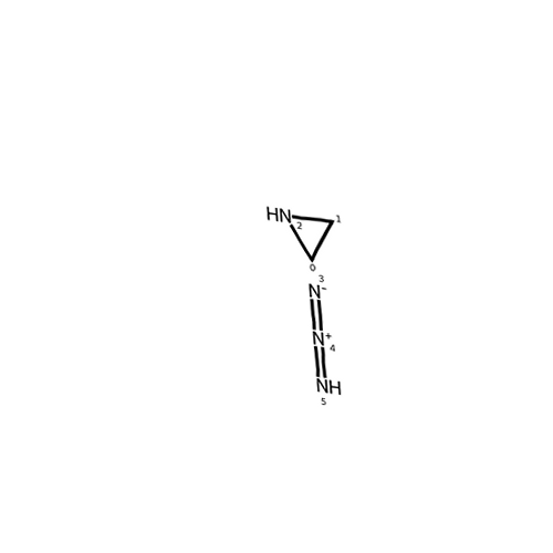 C1CN1.[N-]=[N+]=N